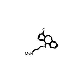 CNCCCN=C1c2ccccc2CCc2c(Cl)cccc21